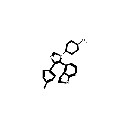 Fc1ccc(-c2ncn([C@H]3CC[C@H](C(F)(F)F)CC3)c2-c2ccnc3[nH]ccc23)cc1